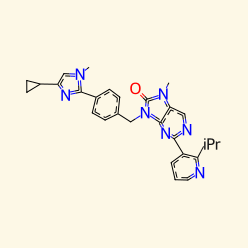 CC(C)c1ncccc1-c1ncc2c(n1)n(Cc1ccc(-c3nc(C4CC4)cn3C)cc1)c(=O)n2C